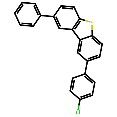 Clc1ccc(-c2ccc3sc4ccc(-c5ccccc5)cc4c3c2)cc1